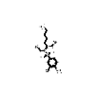 CC(C)CN([C@H](CO)CCCCN)S(=O)(=O)c1ccc(N)c(Cl)c1